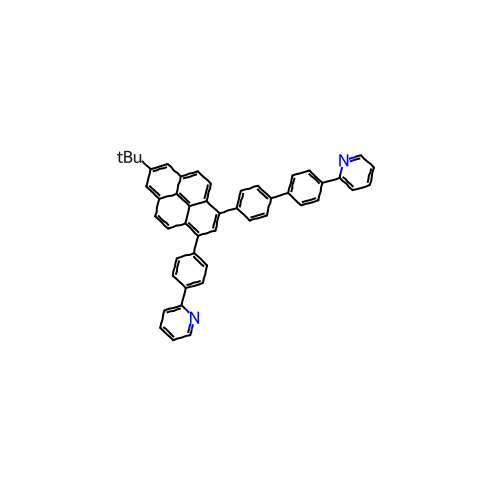 CC(C)(C)c1cc2ccc3c(-c4ccc(-c5ccc(-c6ccccn6)cc5)cc4)cc(-c4ccc(-c5ccccn5)cc4)c4ccc(c1)c2c34